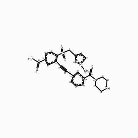 Cn1ccc(CS(=O)(=O)c2ccc(C(N)=O)cc2C#Cc2cccc(C(=O)N3CCNCC3)c2)n1